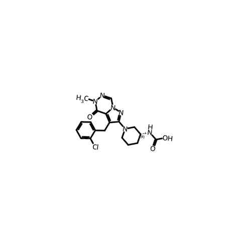 Cn1ncn2nc(N3CCC[C@@H](NC(=O)O)C3)c(Cc3ccccc3Cl)c2c1=O